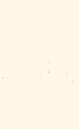 NCCCC1(c2ccccc2)SC(c2cc(F)ccc2F)=NN1c1nncs1